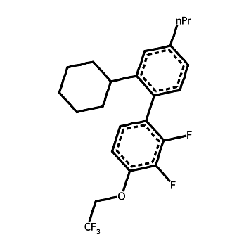 CCCc1ccc(-c2ccc(OCC(F)(F)F)c(F)c2F)c(C2CCCCC2)c1